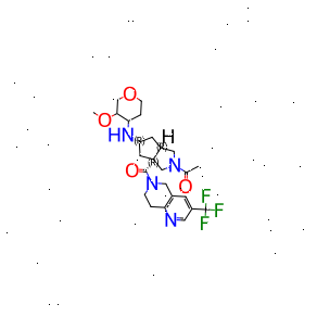 COC1COCCC1N[C@@H]1C[C@H]2CN(C(C)=O)C[C@@]2(C(=O)N2CCc3ncc(C(F)(F)F)cc3C2)C1